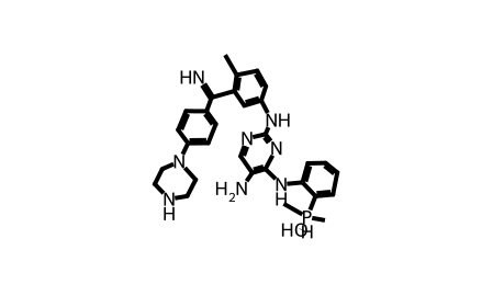 Cc1ccc(Nc2ncc(N)c(Nc3ccccc3[PH](C)(C)O)n2)cc1C(=N)c1ccc(N2CCNCC2)cc1